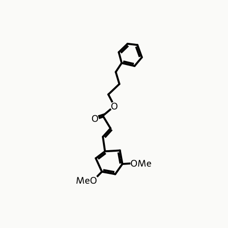 COc1cc(/C=C/C(=O)OCCCc2ccccc2)cc(OC)c1